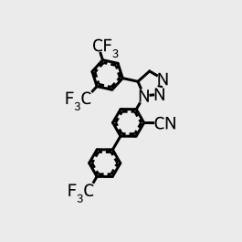 N#Cc1cc(-c2ccc(C(F)(F)F)cc2)ccc1N1N=NCC1c1cc(C(F)(F)F)cc(C(F)(F)F)c1